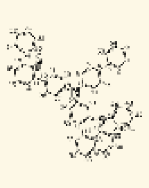 c1ccc(-c2ccc(N(c3ccc(-c4cccc5c4sc4ccccc45)cc3)c3ccc(-c4cccc5ccc6c7ccccc7sc6c45)cc3)cc2)cc1